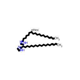 C=CC=CCCCCCCCCC(CCCCCC)CCCCCc1ncc[nH]1.C=CC=CCCCCCCCCCCCCCCc1ncc[nH]1